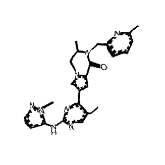 Cc1cccc(CN2C(=O)c3cc(-c4nc(Nc5ccnn5C)ncc4C)cn3CC2C)n1